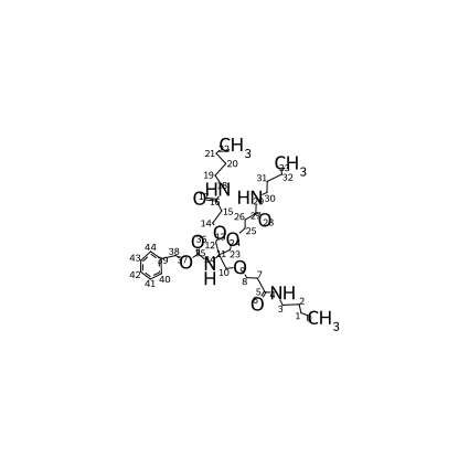 CCCCNC(=O)CCOCC(COCCC(=O)NCCCC)(COCCC(=O)NCCCC)NC(=O)OCc1ccccc1